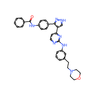 O=C(Nc1ccc(-c2n[nH]cc2-c2ccnc(Nc3cccc(CCN4CCOCC4)c3)n2)cc1)c1ccccc1